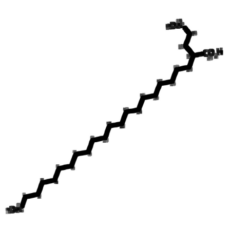 CCCCCCCCCCCCCCCCCCCCCCCCCCCCCCC(CCCCCCCCCCCC)C(=O)O